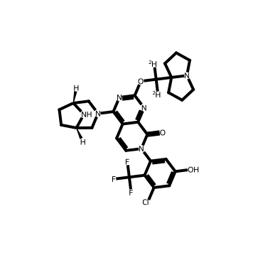 [2H]C([2H])(Oc1nc(N2C[C@H]3CC[C@@H](C2)N3)c2ccn(-c3cc(O)cc(Cl)c3C(F)(F)F)c(=O)c2n1)C12CCCN1CCC2